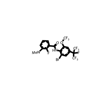 CNc1cccc(C(=O)Nc2c(Br)cc(C(F)(C(F)(F)F)C(F)(F)F)cc2OC(F)(F)F)c1F